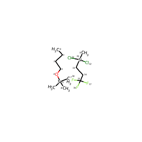 CCCCO[Si](C)(C)C.C[Si](Cl)(Cl)CCC(F)(F)F